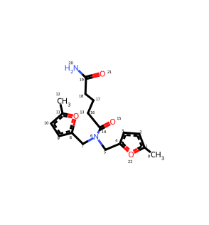 Cc1ccc(CN(Cc2ccc(C)o2)C(=O)CCCC(N)=O)o1